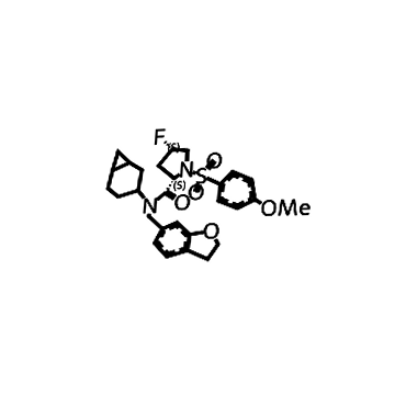 COc1ccc(S(=O)(=O)N2C[C@@H](F)C[C@H]2C(=O)N(Cc2ccc3c(c2)OCC3)C2CCC3CC3C2)cc1